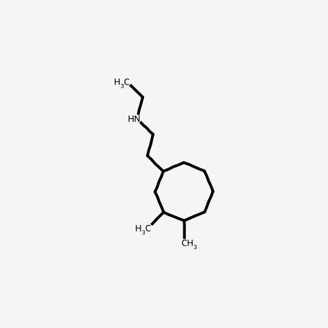 CCNCCC1CCCCC(C)C(C)C1